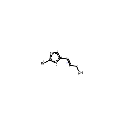 OC/C=C/c1csc(Br)n1